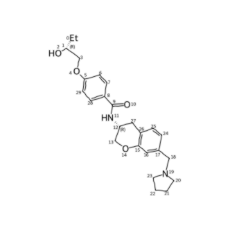 CC[C@@H](O)COc1ccc(C(=O)N[C@H]2COc3cc(CN4CCCC4)ccc3C2)cc1